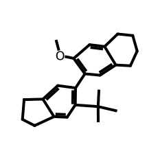 COc1cc2c(cc1-c1cc3c(cc1C(C)(C)C)CCC3)CCCC2